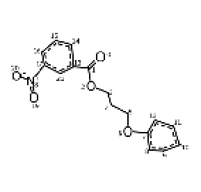 O=C(OCCCOc1ccccc1)c1cccc([N+](=O)[O-])c1